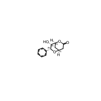 O=C1C[C@@H]2C[C@H](O1)[C@@H](O)[C@@H](c1ccccc1)O2